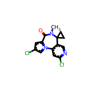 CN1C(=O)c2cc(Cl)cn2-c2cc(Cl)ncc2C12CC2